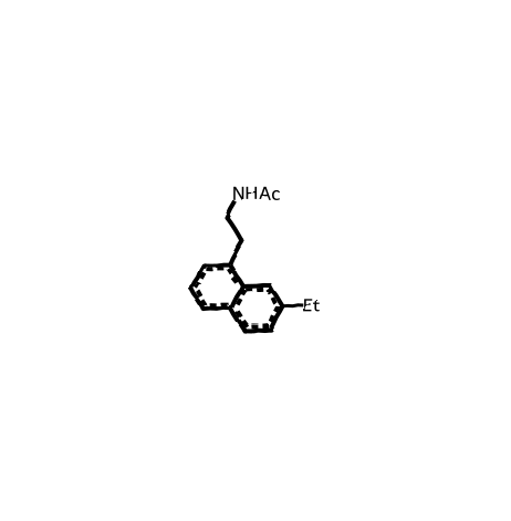 CCc1ccc2cccc(CCNC(C)=O)c2c1